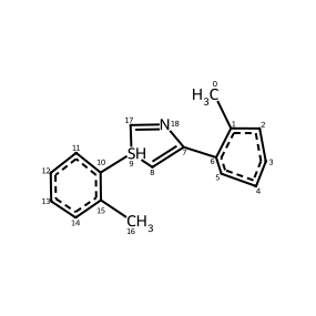 Cc1ccccc1C1=C[SH](c2ccccc2C)C=N1